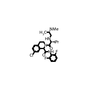 CN[C@@H](C)CN[C@H](C(=O)N1CCc2ccc(Cl)cc2C1C(=O)Nc1c(F)cccc1F)C(C)C